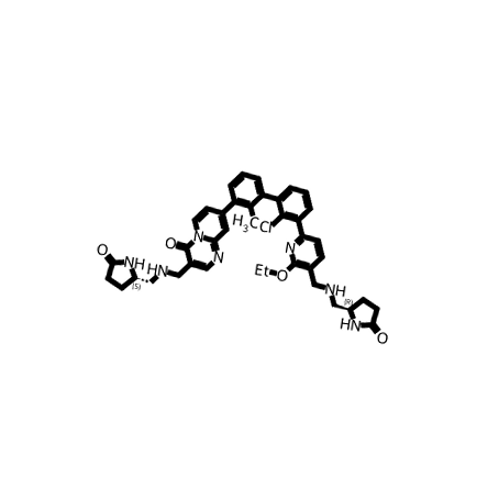 CCOc1nc(-c2cccc(-c3cccc(-c4ccn5c(=O)c(CNC[C@@H]6CCC(=O)N6)cnc5c4)c3C)c2Cl)ccc1CNC[C@H]1CCC(=O)N1